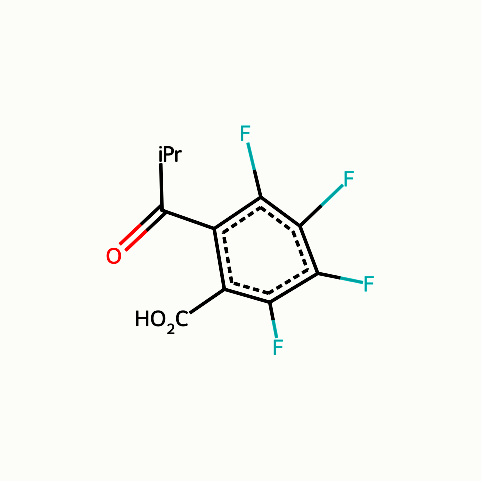 CC(C)C(=O)c1c(F)c(F)c(F)c(F)c1C(=O)O